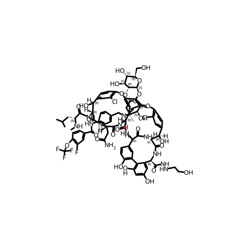 CN[C@H](CC(C)C)C(=O)N[C@H]1C(=O)N[C@@H](CC(N)=O)C(=O)N[C@H]2C(=O)N[C@H]3C(=O)N[C@H](C(=O)N[C@@H](C(=O)NNCCO)c4cc(O)cc(O)c4-c4cc3ccc4O)[C@H](O)c3ccc(c(Cl)c3)Oc3cc2cc(c3O[C@@H]2O[C@H](CO)[C@@H](O)[C@H](O)[C@H]2O[C@H]2C[C@](C)(NCc3ccc(NC(=O)c4ccc(OC(F)(F)F)c(F)c4)cc3)[C@H](O)[C@H](C)O2)Oc2ccc(cc2Cl)[C@H]1O